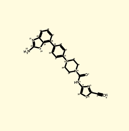 C#Cc1nc(NC(=O)N2CCN(c3ccc(-c4cccc5nc(N)sc45)cc3)CC2)cs1